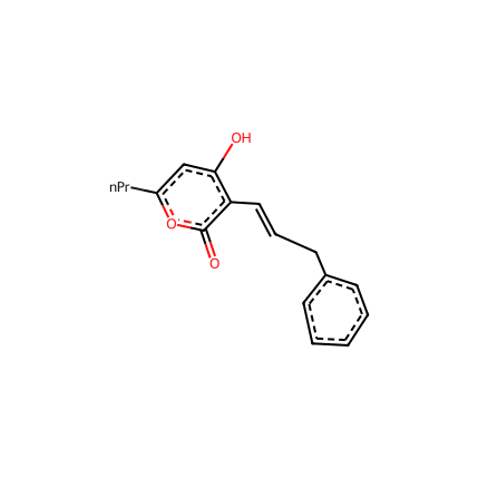 CCCc1cc(O)c(C=CCc2ccccc2)c(=O)o1